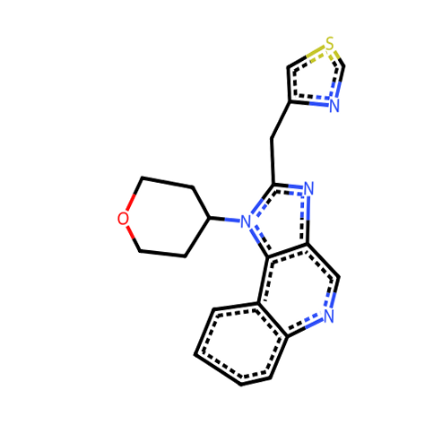 c1ccc2c(c1)ncc1nc(Cc3cscn3)n(C3CCOCC3)c12